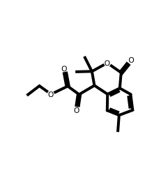 CCOC(=O)C(=O)C1c2cc(C)ccc2C(=O)OC1(C)C